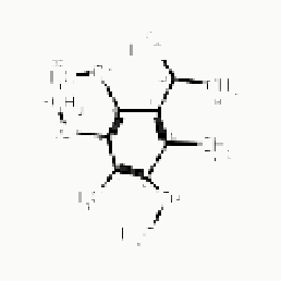 COc1c(C)c(OC)c(OC)c(C(C)C)c1C